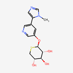 Cn1cncc1-c1cncc(O[C@@H]2SC[C@@H](O)[C@H](O)[C@H]2O)c1